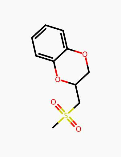 CS(=O)(=O)CC1COc2ccccc2O1